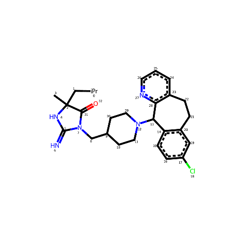 CC(C)CC1(C)NC(=N)N(CC2CCN(C3c4ccc(Cl)cc4CCc4cccnc43)CC2)C1=O